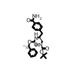 C[C@H](OC(=O)N[C@H](CNC(=O)OC(C)(C)C)Cc1ccc(C(N)=O)cc1)c1ccccc1